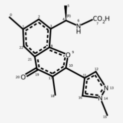 Cc1cc([C@@H](C)NC(=O)O)c2oc(-c3cnn(C)c3)c(C)c(=O)c2c1